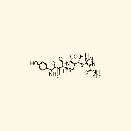 CCCNC(=O)c1nn[nH]c1SCC1=C(C(=O)O)N2C(=O)C(NC(=O)C(N)c3ccc(O)cc3)[C@H]2SC1